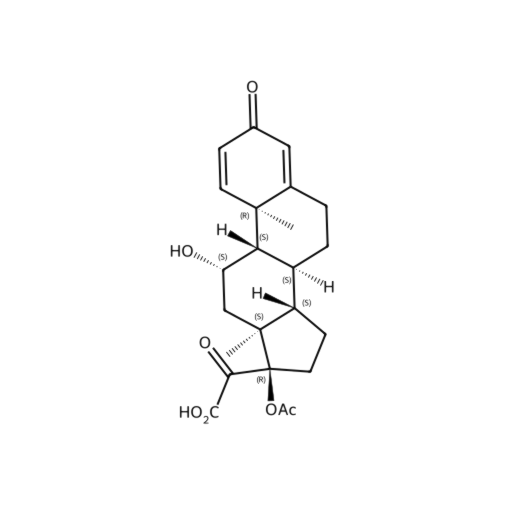 CC(=O)O[C@]1(C(=O)C(=O)O)CC[C@H]2[C@@H]3CCC4=CC(=O)C=C[C@]4(C)[C@H]3[C@@H](O)C[C@@]21C